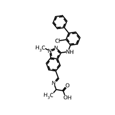 CC(N=Cc1ccc2c(c1)c(Nc1cccc(-c3ccccc3)c1Cl)nn2C)C(=O)O